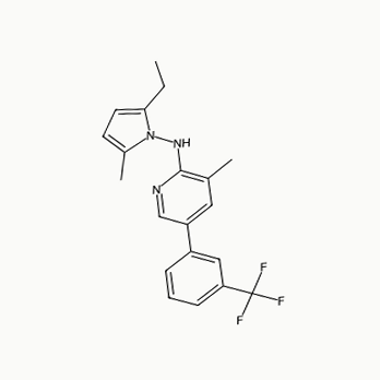 CCc1ccc(C)n1Nc1ncc(-c2cccc(C(F)(F)F)c2)cc1C